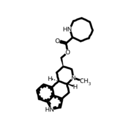 CN1C[C@H](COC(=O)C2CCCCCCN2)C[C@@H]2c3cccc4[nH]cc(c34)C[C@H]21